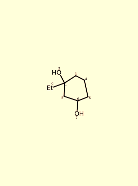 CCC1(O)CCCC(O)C1